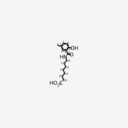 Cc1ccc(O)c(C(=O)NCCCCCCCC(=O)O)c1